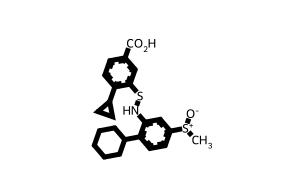 C[S+]([O-])c1ccc(C2CCCCC2)c(NSc2cc(C(=O)O)ccc2C2CC2)c1